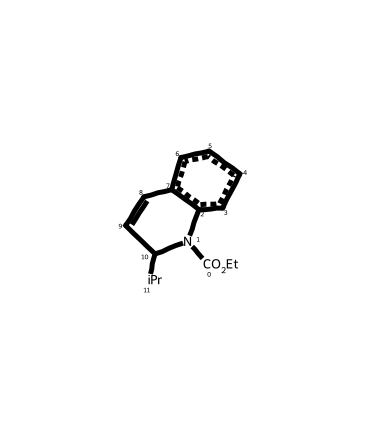 CCOC(=O)N1c2ccccc2C=CC1C(C)C